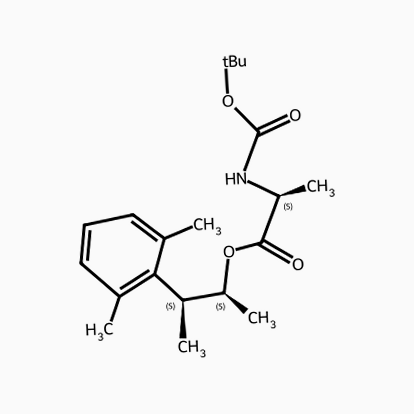 Cc1cccc(C)c1[C@H](C)[C@H](C)OC(=O)[C@H](C)NC(=O)OC(C)(C)C